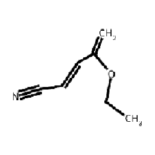 C=C(C=CC#N)OCC